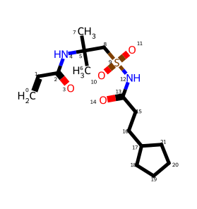 C=CC(=O)NC(C)(C)CS(=O)(=O)NC(=O)CCC1CCCC1